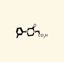 Cc1cccc(N2CCN(CC(=O)O)C(=O)C2)c1